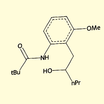 CCCC(O)Cc1c(NC(=O)C(C)(C)C)cccc1OC